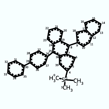 C[Si](C)(C)c1ccc2c(-c3ccc4ccccc4c3)c3ccccc3c(-c3ccc(-c4ccccc4)cc3)c2c1